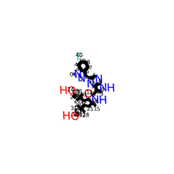 Cn1nc(-c2cnc3[nH]cc(C(=O)NC(C)(CCC(C)(C)[Si](C)(C)O)CCC(C)(C)[Si](C)(C)O)c3n2)c2ccc(F)cc21